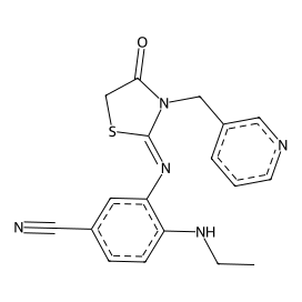 CCNc1ccc(C#N)cc1N=C1SCC(=O)N1Cc1cccnc1